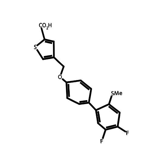 CSc1cc(F)c(F)cc1-c1ccc(OCc2csc(C(=O)O)c2)cc1